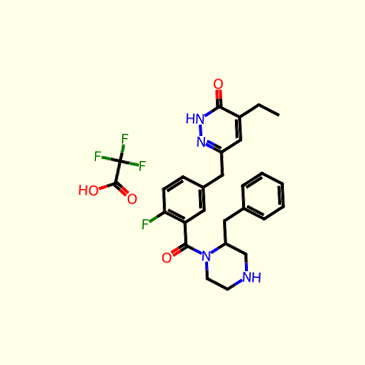 CCc1cc(Cc2ccc(F)c(C(=O)N3CCNCC3Cc3ccccc3)c2)n[nH]c1=O.O=C(O)C(F)(F)F